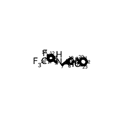 OC1(CN2CC3C(CNCc4ccc(F)c(C(F)(F)F)c4)C3C2)CCCCC1